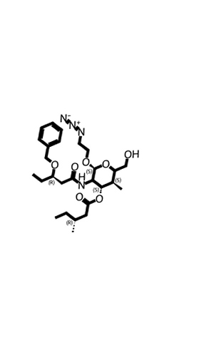 CC[C@@H](C)CC(=O)O[C@@H]1C(NC(=O)C[C@@H](CC)OCc2ccccc2)[C@@H](OCCN=[N+]=[N-])OC(CO)[C@H]1C